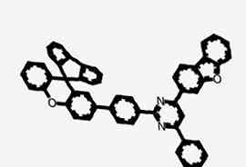 c1ccc(-c2cc(-c3ccc4c(c3)oc3ccccc34)nc(-c3ccc(-c4ccc5c(c4)C4(c6ccccc6O5)c5ccccc5-c5ccccc54)cc3)n2)cc1